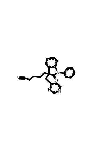 N#CCCCCC1(Cc2ccncn2)C(=O)N(c2ccccc2)c2ccccc21